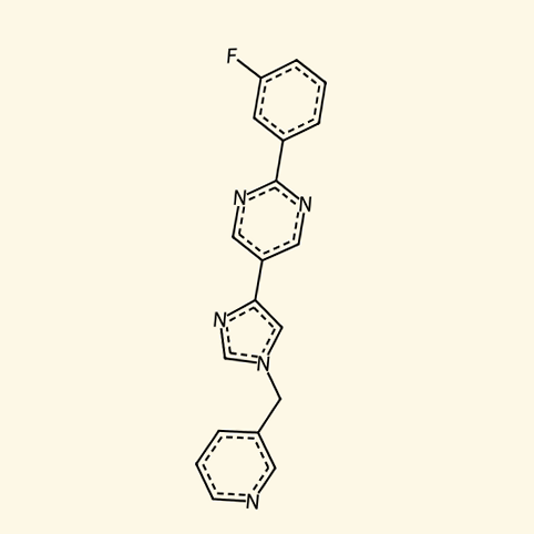 Fc1cccc(-c2ncc(-c3cn(Cc4cccnc4)cn3)cn2)c1